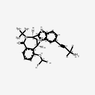 [2H]C([2H])([2H])N1C(=O)c2cccc(OC(F)F)c2[C@H]2C[C@@H]1c1nc3ccc(C#CC(C)(C)N)cc3n12